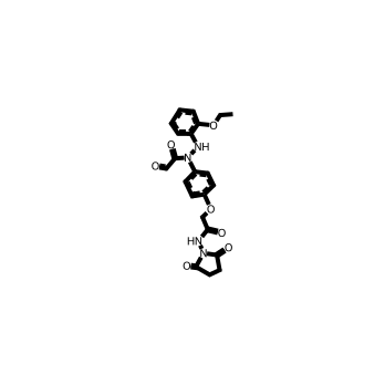 CCOc1ccccc1NN(C(=O)C=O)c1ccc(OCC(=O)NN2C(=O)CCC2=O)cc1